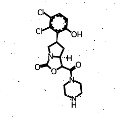 O=C(C1OC(=O)N2C[C@@H](c3c(O)ccc(Cl)c3Cl)C[C@@H]12)N1CCNCC1